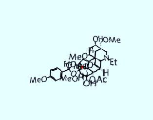 CCN1C[C@]2(COC)[C@H](O)C[C@H](OC)[C@]34C1[C@H]([C@H](OC)[C@H]23)[C@]1(OC(C)=O)[C@H]2[C@@H](OC(=O)c3ccc(OC)cc3)[C@](O)(C[C@H]24)[C@@H](OC)[C@@H]1O